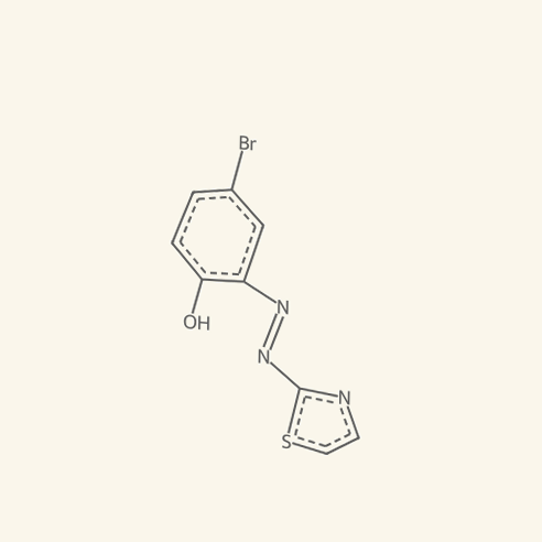 Oc1ccc(Br)cc1/N=N/c1nccs1